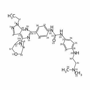 CCn1ncc2c(N3C4CCC3COC4)nc(-c3ccc(NC(=O)Nc4ccc(NCCN(C)C)cc4)cc3)nc21